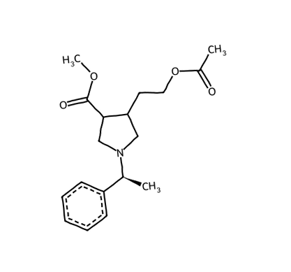 COC(=O)C1CN([C@@H](C)c2ccccc2)CC1CCOC(C)=O